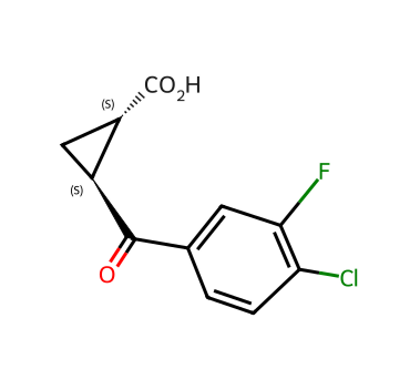 O=C(O)[C@H]1C[C@@H]1C(=O)c1ccc(Cl)c(F)c1